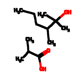 CC(C)C(=O)O.CCCC(C)C(C)(C)O